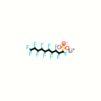 O=S(=O)([O-])C(F)C(F)C(F)C(F)C(F)C(F)C(F)C(F)C(F)C(F)F.[Li+]